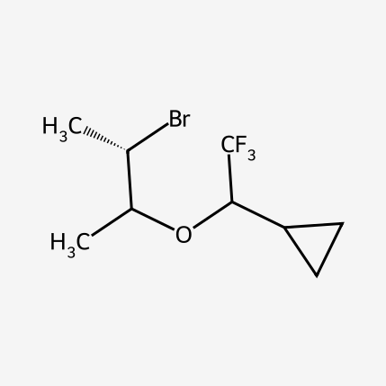 CC(OC(C1CC1)C(F)(F)F)[C@H](C)Br